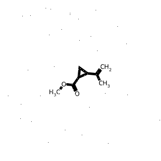 C=C(C)C1CC1C(=O)OC